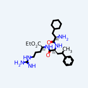 CCOC(=O)[C@H](CCCNC(=N)N)NC(=O)[C@H](CC(C)c1ccccc1)NC(=O)[C@H](N)CC1CCCCC1